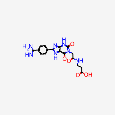 N=C(N)c1ccc(-c2nc3[nH]c(=O)n(CC(=O)NCCC(=O)O)c(=O)c3[nH]2)cc1